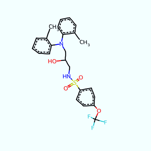 Cc1ccccc1N(CC(O)CNS(=O)(=O)c1ccc(OC(F)(F)F)cc1)c1ccccc1C